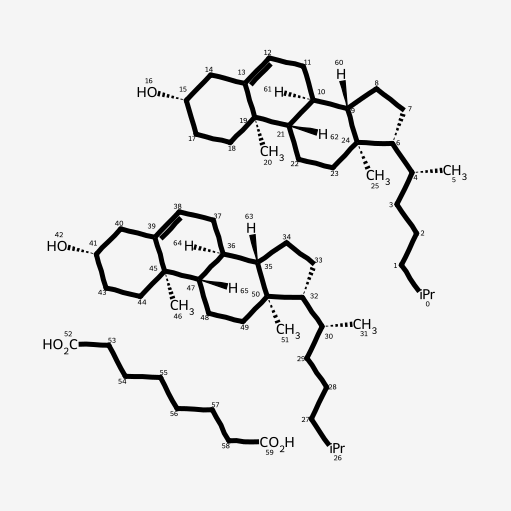 CC(C)CCC[C@@H](C)[C@H]1CC[C@H]2[C@@H]3CC=C4C[C@@H](O)CC[C@]4(C)[C@H]3CC[C@]12C.CC(C)CCC[C@@H](C)[C@H]1CC[C@H]2[C@@H]3CC=C4C[C@@H](O)CC[C@]4(C)[C@H]3CC[C@]12C.O=C(O)CCCCCCC(=O)O